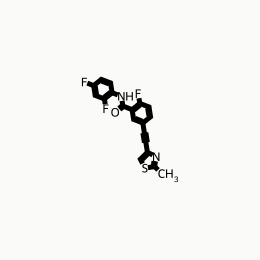 Cc1nc(C#Cc2ccc(F)c(C(=O)Nc3ccc(F)cc3F)c2)cs1